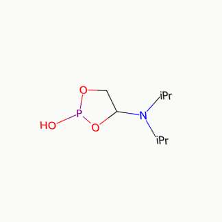 CC(C)N(C(C)C)C1COP(O)O1